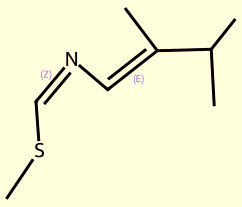 CS/C=N\C=C(/C)C(C)C